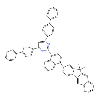 CC1(C)c2cc(-c3ccc(-c4nc(-c5ccc(-c6ccccc6)cc5)cc(-c5ccc(-c6ccccc6)cc5)n4)c4ccccc34)ccc2-c2cc3ccccc3cc21